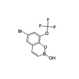 OB1C=Cc2cc(Br)cc(OC(F)(F)F)c2O1